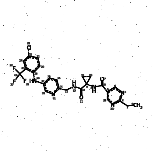 CCc1ncc(C(=O)NC2(C(=O)NCc3ccc(Nc4ccc(Cl)cc4C(F)(F)F)cn3)CC2)cn1